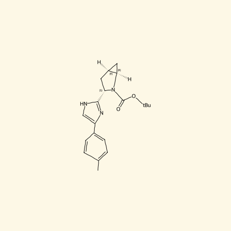 Cc1ccc(-c2c[nH]c([C@@H]3C[C@H]4C[C@H]4N3C(=O)OC(C)(C)C)n2)cc1